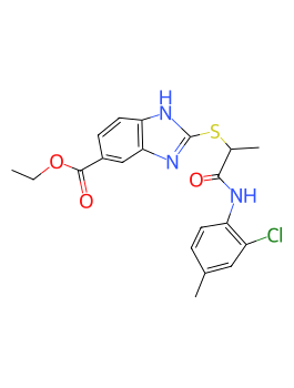 CCOC(=O)c1ccc2[nH]c(SC(C)C(=O)Nc3ccc(C)cc3Cl)nc2c1